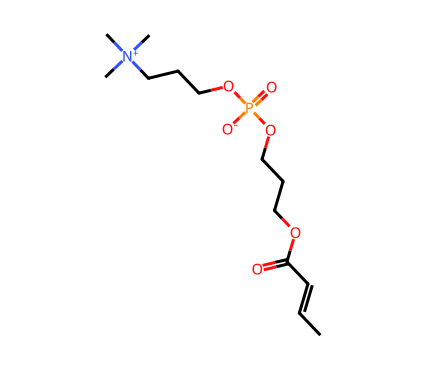 CC=CC(=O)OCCCOP(=O)([O-])OCCC[N+](C)(C)C